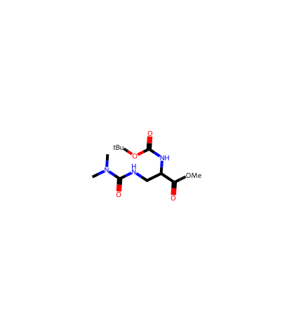 COC(=O)C(CNC(=O)N(C)C)NC(=O)OC(C)(C)C